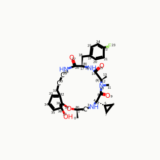 C[C@@H]1CN[C@@H](C2CC2)C(=O)N(C)[C@H](C)C(=O)N[C@H](Cc2ccc(F)cc2)C(=O)NCCCc2cccc(O)c2O1